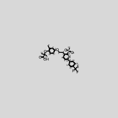 Cc1cc(OCCc2ccc(-c3ccc(C(F)(F)F)cc3)nc2S(C)(=O)=O)ccc1OC(C)(C)C(=O)O